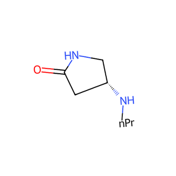 CCCN[C@H]1CNC(=O)C1